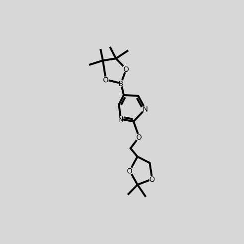 CC1(C)OCC(COc2ncc(B3OC(C)(C)C(C)(C)O3)cn2)O1